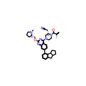 C=C(F)C(=O)N1CCN(c2nc(OC[C@@H]3CCCN3C)nc3cc(-c4cccc5c4C4CCCC4C5)ccc23)C[C@@H]1CC#N